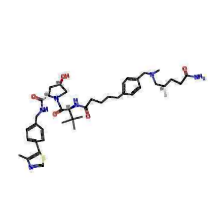 Cc1ncsc1-c1ccc(CNC(=O)[C@@H]2C[C@@H](O)CN2C(=O)[C@@H](NC(=O)CCCCc2ccc(CN(C)C[C@@H](C)CCC(N)=O)cc2)C(C)(C)C)cc1